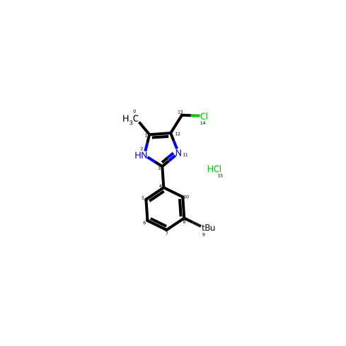 Cc1[nH]c(-c2cccc(C(C)(C)C)c2)nc1CCl.Cl